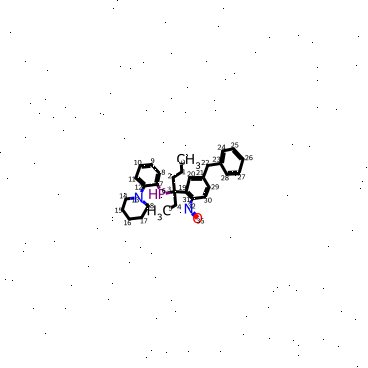 CCCC(CC)(Pc1ccccc1N1CCCCC1)c1cc(Cc2ccccc2)ccc1N=O